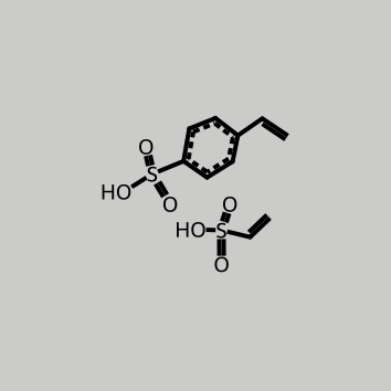 C=CS(=O)(=O)O.C=Cc1ccc(S(=O)(=O)O)cc1